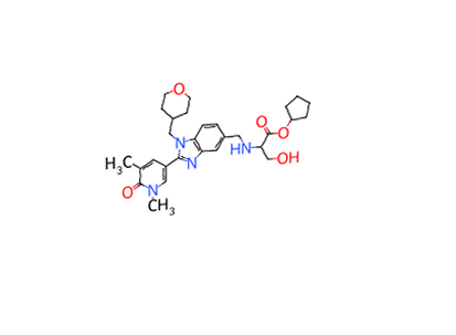 Cc1cc(-c2nc3cc(CNC(CO)C(=O)OC4CCCC4)ccc3n2CC2CCOCC2)cn(C)c1=O